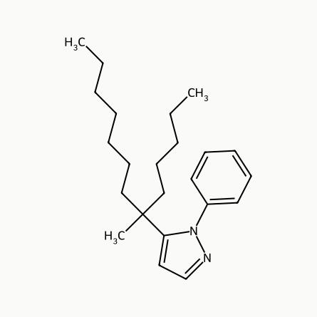 CCCCCCCC(C)(CCCCC)c1ccnn1-c1ccccc1